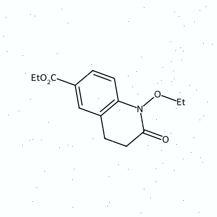 CCOC(=O)c1ccc2c(c1)CCC(=O)N2OCC